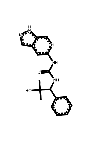 CC(C)(O)C(NC(=O)Nc1cc2cn[nH]c2cn1)c1ccccc1